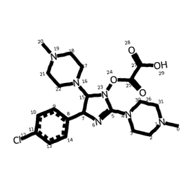 CN1CCN(C2=NC(c3ccc(Cl)cc3)C(N3CCN(C)CC3)N2OC(=O)C(=O)O)CC1